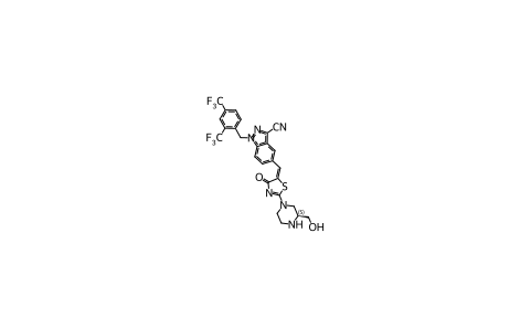 N#Cc1nn(Cc2ccc(C(F)(F)F)cc2C(F)(F)F)c2ccc(C=C3SC(N4CCN[C@H](CO)C4)=NC3=O)cc12